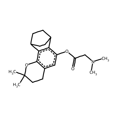 CN(C)CC(=O)Oc1cc2c(c3c1C1CCC3CC1)OC(C)(C)CC2